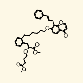 COC(=O)CCCOC(Cc1ccccc1CCCCCCOc1ccc2c(=O)ccoc2c1CC=Cc1ccccc1)C(=O)OC